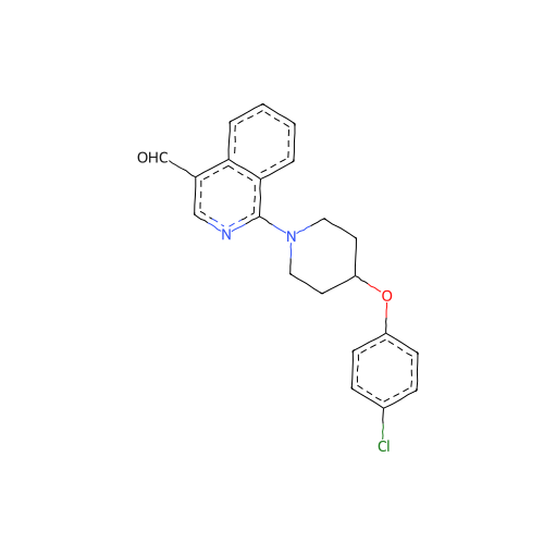 O=Cc1cnc(N2CCC(Oc3ccc(Cl)cc3)CC2)c2ccccc12